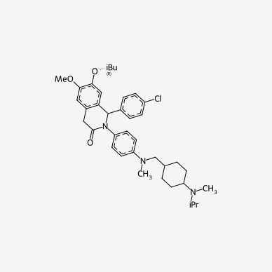 CC[C@@H](C)Oc1cc2c(cc1OC)CC(=O)N(c1ccc(N(C)CC3CCC(N(C)C(C)C)CC3)cc1)C2c1ccc(Cl)cc1